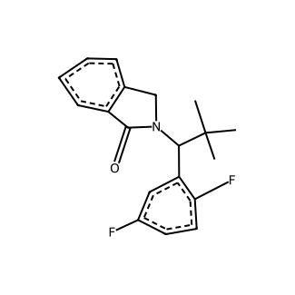 CC(C)(C)C(c1cc(F)ccc1F)N1Cc2ccccc2C1=O